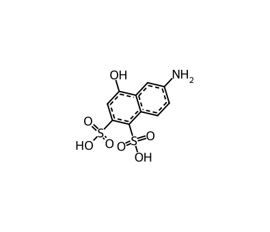 Nc1ccc2c(S(=O)(=O)O)c(S(=O)(=O)O)cc(O)c2c1